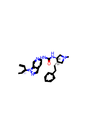 C=C/C(=C\C)n1ncc2cc(NC(=O)N[C@H]3CN(C)C[C@@H]3CCc3ccccc3)ncc21